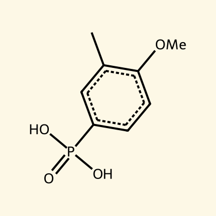 COc1ccc(P(=O)(O)O)cc1C